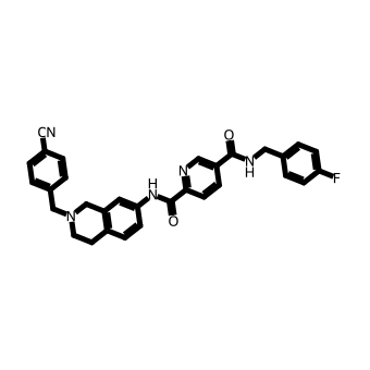 N#Cc1ccc(CN2CCc3ccc(NC(=O)c4ccc(C(=O)NCc5ccc(F)cc5)cn4)cc3C2)cc1